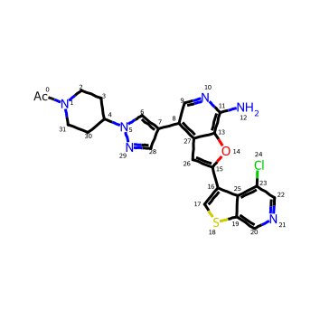 CC(=O)N1CCC(n2cc(-c3cnc(N)c4oc(-c5csc6cncc(Cl)c56)cc34)cn2)CC1